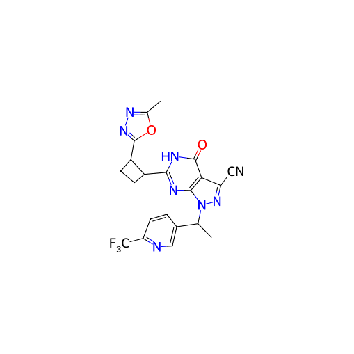 Cc1nnc(C2CCC2c2nc3c(c(C#N)nn3C(C)c3ccc(C(F)(F)F)nc3)c(=O)[nH]2)o1